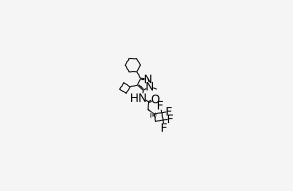 Cn1nc(C2CCCCC2)c(C2CCC2)c1NC(=O)C[C@@H]1CC(F)(F)C1(F)F